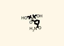 CC(C)(CO)N(C(=O)c1cccc(C(N)=O)c1)C(C)(C)CO